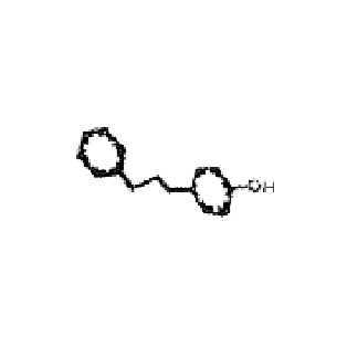 Oc1ccc(CCCc2ccccc2)cc1